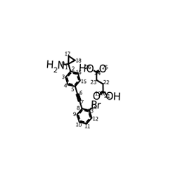 NC1(c2ccc(C#Cc3ccccc3Br)cc2)CC1.O=C(O)CCC(=O)O